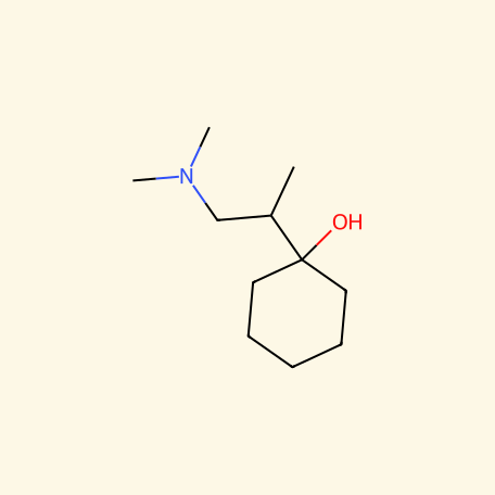 CC(CN(C)C)C1(O)CCCCC1